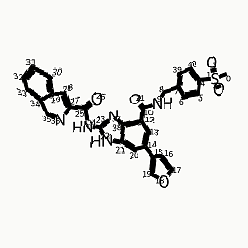 CS(=O)(=O)c1ccc(CNC(=O)c2cc(-c3ccoc3)cc3[nH]c(NC(=O)c4cc5ccccc5cn4)nc23)cc1